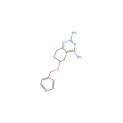 Nc1nc(N)c2c(n1)CCC(OCc1ccccc1)C2